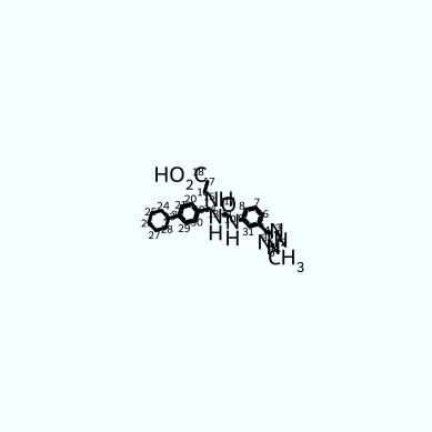 Cn1nnc(-c2cccc(NC(=O)NC(NCCC(=O)O)c3ccc(C4CCCCC4)cc3)c2)n1